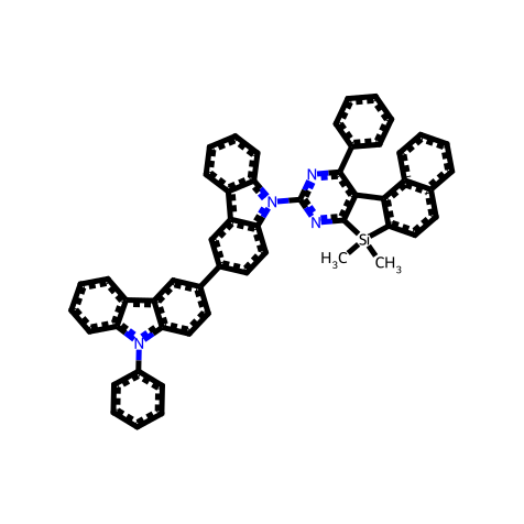 C[Si]1(C)c2ccc3ccccc3c2-c2c(-c3ccccc3)nc(-n3c4ccccc4c4cc(-c5ccc6c(c5)c5ccccc5n6-c5ccccc5)ccc43)nc21